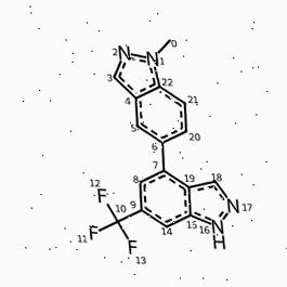 Cn1ncc2cc(-c3cc(C(F)(F)F)cc4[nH]ncc34)ccc21